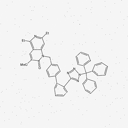 CCc1cc2c(cc(OC)c(=O)n2Cc2ccc(-c3ccccc3-c3nnn(C(c4ccccc4)(c4ccccc4)c4ccccc4)n3)cc2)c(CC)n1